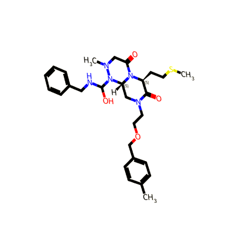 CSCC[C@H]1C(=O)N(CCOCc2ccc(C)cc2)C[C@H]2N1C(=O)CN(C)N2C(O)NCc1ccccc1